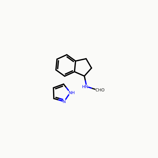 O=CNC1CCc2ccccc21.c1cn[nH]c1